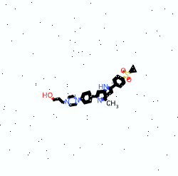 Cc1nc(-c2ccc(N3CCN(CCCO)CC3)cc2)cc2[nH]c(-c3ccc(S(=O)(=O)C4CC4)cc3)cc12